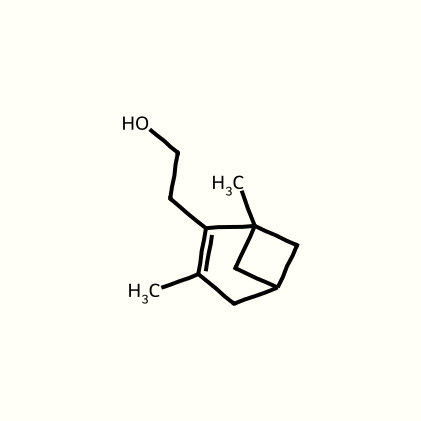 CC1=C(CCO)C2(C)CC(C1)C2